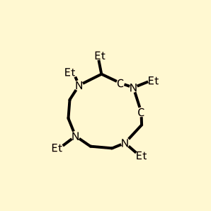 CCC1CN(CC)CCN(CC)CCN(CC)CCN1CC